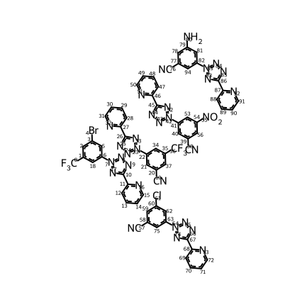 FC(F)(F)c1cc(Br)cc(-n2nnc(-c3ccccn3)n2)c1.N#Cc1cc(-n2nnc(-c3ccccn3)n2)cc(C(F)(F)F)c1.N#Cc1cc(-n2nnc(-c3ccccn3)n2)cc([N+](=O)[O-])c1.N#Cc1cc(Cl)cc(-n2nnc(-c3ccccn3)n2)c1.N#Cc1cc(N)cc(-n2nnc(-c3ccccn3)n2)c1